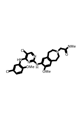 CNC(=O)CN1CCc2cc(Nc3ncc(Cl)c(Nc4cc(Cl)ccc4OC)n3)c(OC)cc2CC1